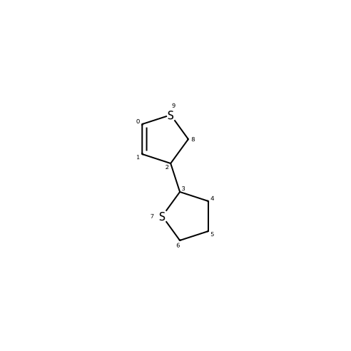 C1=CC(C2CCCS2)CS1